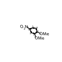 COc1[c]c([N+](=O)[O-])ccc1OC